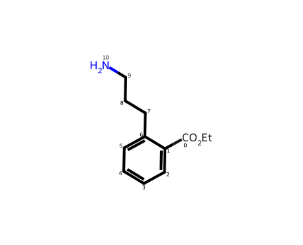 CCOC(=O)c1ccccc1CCCN